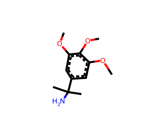 COc1cc(C(C)(C)N)cc(OC)c1OC